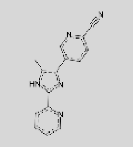 N#Cc1ccc(-c2nc(-c3ccccn3)[nH]c2I)cn1